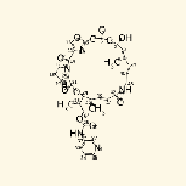 CC1=C\[C@@H](O)CC(=O)Cc2nc(co2)C(=O)N2CCC[C@@H]2C(=O)O[C@H]([C@H](C)COC(=O)Nc2cccnc2)[C@H](C)/C=C/C(=O)NC\C=C\1